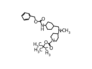 CN(CC1CCC(NC(=O)OCc2ccccc2)CC1)C1CCN(C(=O)OC(C)(C)C)CC1